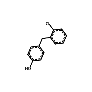 Oc1ccc(Cc2ccccc2Cl)cc1